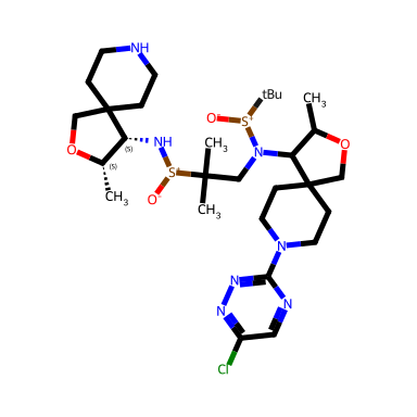 CC1OCC2(CCN(c3ncc(Cl)nn3)CC2)C1N(CC(C)(C)[S+]([O-])N[C@@H]1[C@H](C)OCC12CCNCC2)[S+]([O-])C(C)(C)C